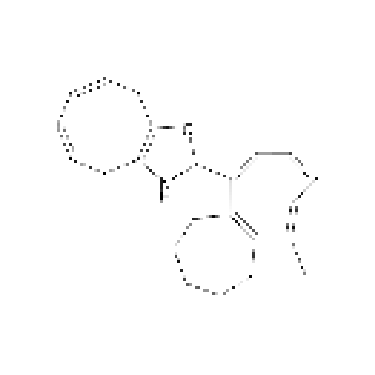 C\C1=C/C=C\C=C(\C2NC3=C(C/C=C\C=C/C3)O2)C2=C1CCCCC2